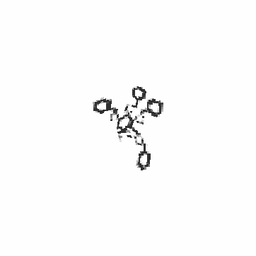 FC1(F)C[C@H](OCc2ccccc2)[C@@H](OCc2ccccc2)[C@H](OCc2ccccc2)C1COCc1ccccc1